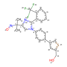 CC(C)(N=O)c1cn(-c2ccc(-c3csc(CO)c3)cc2)c(-c2ccccc2C(F)(F)F)n1